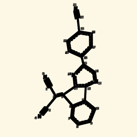 N#CC(C#N)=C1c2ccccc2-c2ncc(-c3ccc(C#N)cc3)nc21